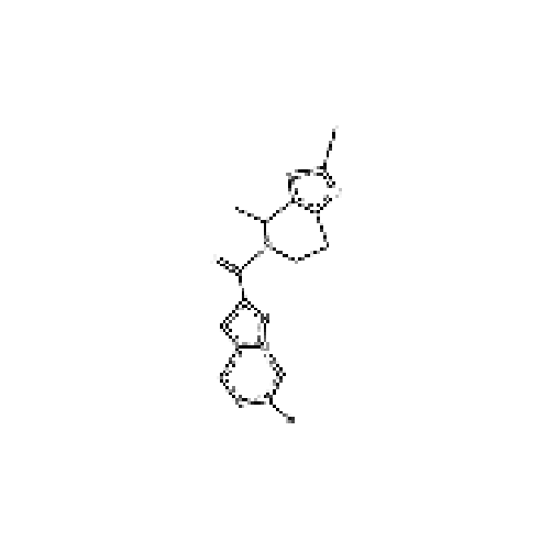 Cc1cc2c(o1)CCN(C(=O)c1cc3ccc(Br)cn3n1)C2C